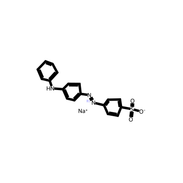 O=S(=O)([O-])c1ccc(/N=N/c2ccc(Nc3ccccc3)cc2)cc1.[Na+]